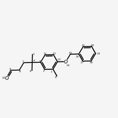 Cc1cc(C(C)(C)CCC=O)ccc1OCc1ccccc1